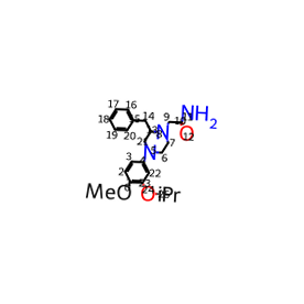 COc1ccc(N2CCN(CC(N)=O)C(Cc3ccccc3)C2)cc1OC(C)C